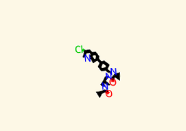 O=C(C1CC1)N1CC(CN2C(=O)C3(CC3)N=C2c2ccc(-c3ccc4cc(Cl)cnc4c3)cc2)C1